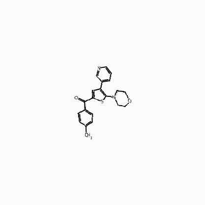 Cc1ccc(C(=O)c2cc(-c3cccnc3)c(N3CCOCC3)s2)cc1